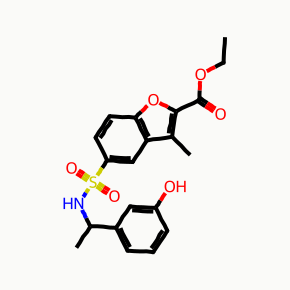 CCOC(=O)c1oc2ccc(S(=O)(=O)NC(C)c3cccc(O)c3)cc2c1C